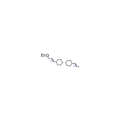 C/C=C/[C@H]1CC[C@H](C2CCC(/C=C/COCC)CC2)CC1